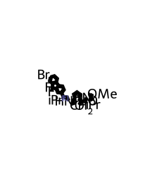 C=C(N/C=C(/c1ccc2c(c1)C(F)(F)c1cc(Br)ccc1-2)C(C)C)C1C=CCN1C(=O)C(NC(=O)OC)C(C)C